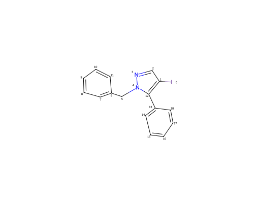 Ic1cnn(Cc2ccccc2)c1-c1ccccc1